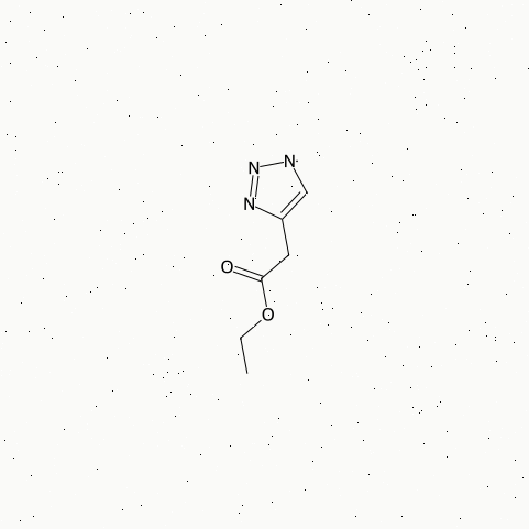 CCOC(=O)CC1=C[N]N=N1